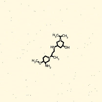 COC1CCN(C(C)CCNC2CC(O)CN(C(C)C)C2)CC1N